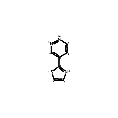 c1cc(-c2nccs2)cnn1